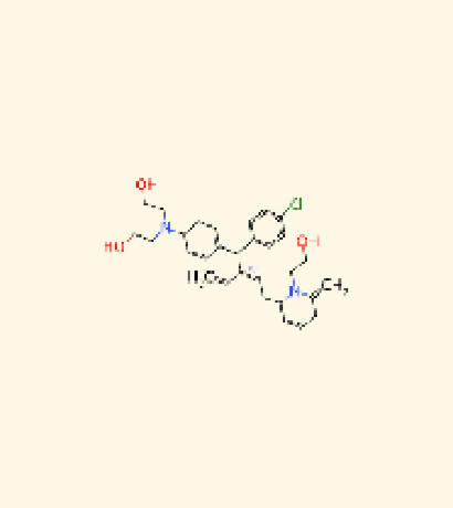 C=C/C(=C\CC1C=CCC(=C)N1CCO)C(C1=CCC(N(CCO)CCO)C=C1)c1ccc(Cl)cc1